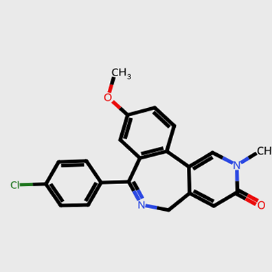 COc1ccc2c(c1)C(c1ccc(Cl)cc1)=NCc1cc(=O)n(C)cc1-2